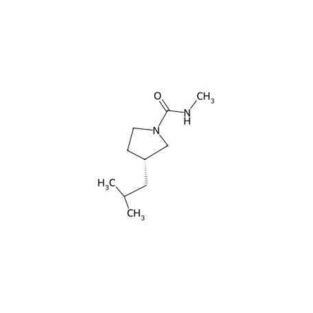 CNC(=O)N1CC[C@@H](CC(C)C)C1